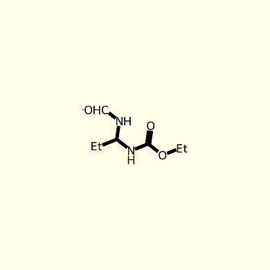 CCOC(=O)NC(CC)N[C]=O